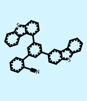 N#Cc1ccccc1-c1cc(-c2ccc3sc4ccccc4c3c2)cc(-c2cccc3sc4ccccc4c23)c1